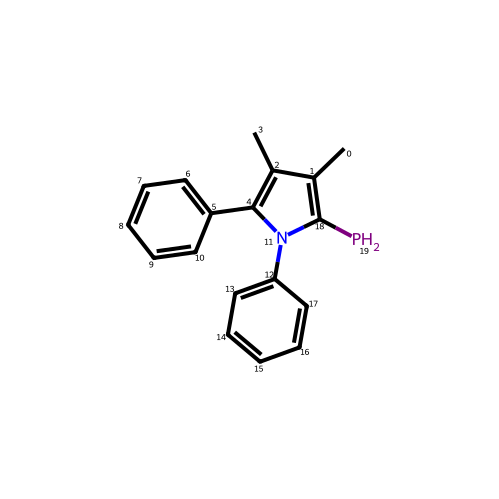 Cc1c(C)c(-c2ccccc2)n(-c2ccccc2)c1P